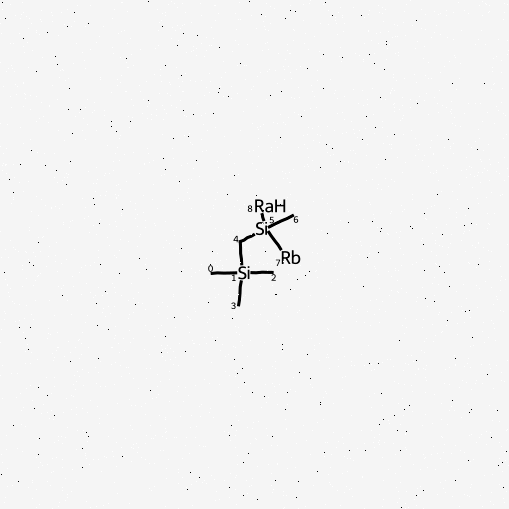 C[Si](C)(C)C[Si](C)([Rb])[RaH]